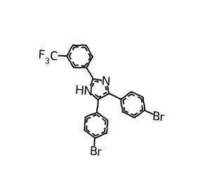 FC(F)(F)c1cccc(-c2nc(-c3ccc(Br)cc3)c(-c3ccc(Br)cc3)[nH]2)c1